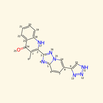 Cc1c(-c2nc3ccc(-c4c[nH]nn4)cn3n2)[nH]c2ccccc2c1=O